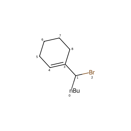 CCCCC(Br)C1=CCCCC1